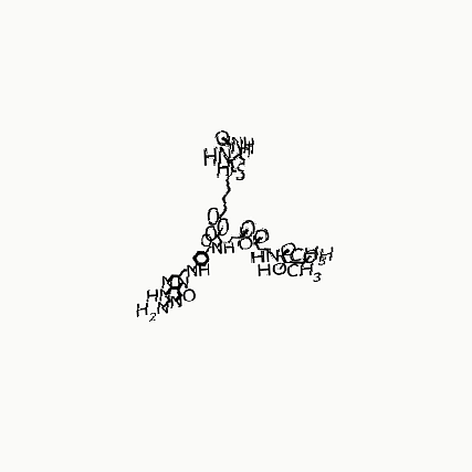 CC(C)(CO)[C@@H](O)C(=O)NCCC(=O)OC(=O)CC[C@H](NC(=O)c1ccc(NCc2cnc3[nH]c(N)nc(=O)c3n2)cc1)C(=O)OC(=O)CCCC[C@@H]1SC[C@@H]2NC(=O)N[C@@H]21